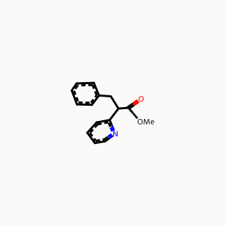 COC(=O)C(Cc1ccccc1)c1ccccn1